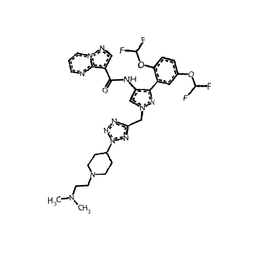 CN(C)CCN1CCC(n2nnc(Cn3cc(NC(=O)c4cnn5cccnc45)c(-c4cc(OC(F)F)ccc4OC(F)F)n3)n2)CC1